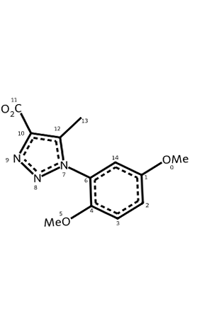 COc1ccc(OC)c(-n2nnc(C(=O)O)c2C)c1